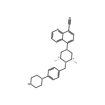 C[C@@H]1CN(c2ccc(C#N)c3ncccc23)C[C@H](C)N1Cc1ccc(N2CCNCC2)cc1